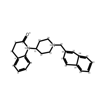 O=C1CCc2ccccc2N1C1CCN(Cc2ccc3ccccc3c2)CC1